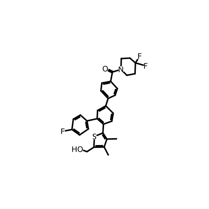 Cc1c(CO)sc(-c2ccc(-c3ccc(C(=O)N4CCC(F)(F)CC4)cc3)cc2-c2ccc(F)cc2)c1C